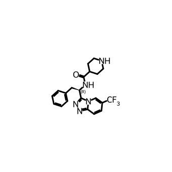 O=C(N[C@H](Cc1ccccc1)c1nnc2ccc(C(F)(F)F)cn12)C1CCNCC1